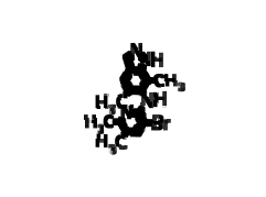 Cc1cc(Br)c(Nc2c(C)cc3cn[nH]c3c2C)nc1C